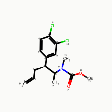 C=CC[C@@H](c1ccc(Cl)c(Cl)c1)C(C)N(C)C(=O)OC(C)(C)C